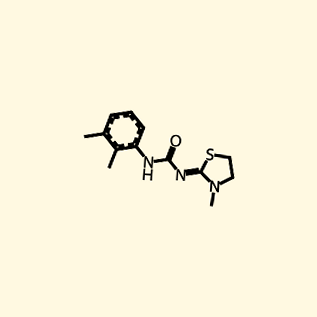 Cc1cccc(NC(=O)N=C2SCCN2C)c1C